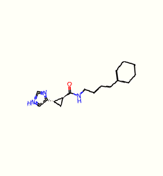 O=C(NCCCCC1CCCCC1)[C@H]1C[C@@H]1c1c[nH]cn1